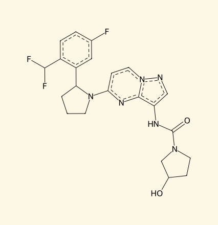 O=C(Nc1cnn2ccc(N3CCCC3c3cc(F)ccc3C(F)F)nc12)N1CCC(O)C1